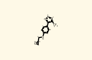 FC(F)(F)c1nnsc1-c1ccc(OCC2CO2)cc1